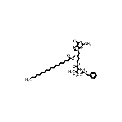 CCCCCCCCCCCCCCCCCC(=O)OC[C@H](CCOC(=O)[C@@H](NC(=O)OCc1ccccc1)C(C)C)Cn1cnc2c(Cl)nc(N)nc21